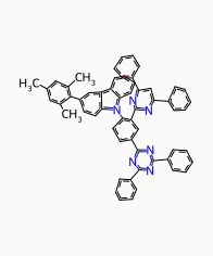 Cc1cc(C)c(-c2ccc3c(c2)c2ccccc2n3-c2ccc(-c3nc(-c4ccccc4)nc(-c4ccccc4)n3)cc2-c2nc(-c3ccccc3)cc(-c3ccccc3)n2)c(C)c1